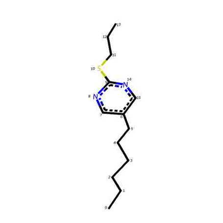 CCCCCCc1cnc(SCCC)nc1